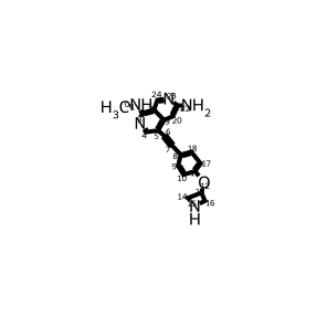 CNc1ncc(C#Cc2ccc(OC3CNC3)cc2)c2cc(N)ncc12